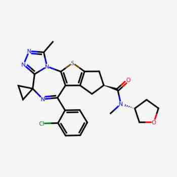 Cc1nnc2n1-c1sc3c(c1C(c1ccccc1Cl)=NC21CC1)C[C@H](C(=O)N(C)[C@@H]1CCOC1)C3